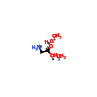 NCC(=O)O.O.O.O